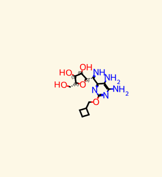 N=C(c1nc(OCC2CCC2)nc(N)c1N)[C@@H]1O[C@H](CO)[C@@H](O)[C@H]1O